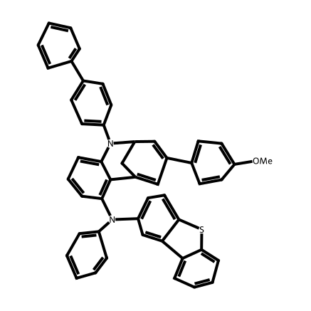 COc1ccc(C2=CC3CC(=C2)c2c(N(c4ccccc4)c4ccc5sc6ccccc6c5c4)cccc2N3c2ccc(-c3ccccc3)cc2)cc1